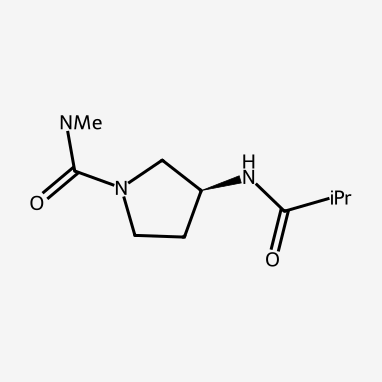 CNC(=O)N1CC[C@H](NC(=O)C(C)C)C1